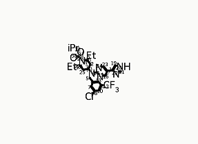 CC[C@@H]1C[C@@H](N(Cc2cc(Cl)cc(C(F)(F)F)c2)c2ncc(-c3c[nH]cn3)cn2)C[C@H](CC)N1C(=O)OC(C)C